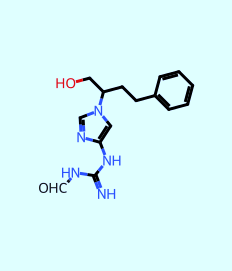 N=C(NC=O)Nc1cn(C(CO)CCc2ccccc2)cn1